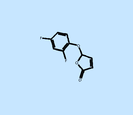 O=C1C=CC(Oc2ccc(F)cc2F)O1